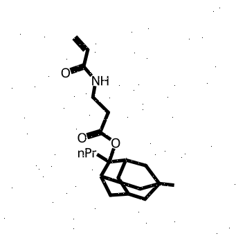 C=CC(=O)NCCC(=O)OC1(CCC)C2CC3CC1CC(C)(C3)C2